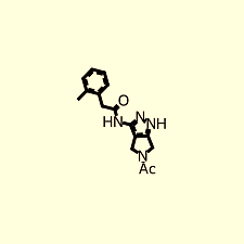 CC(=O)N1Cc2[nH]nc(NC(=O)Cc3ccccc3C)c2C1